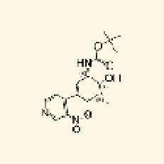 C[C@@H]1CC(c2ccncc2[N+](=O)[O-])=C[C@@H](NC(=O)OC(C)(C)C)[C@@H]1O